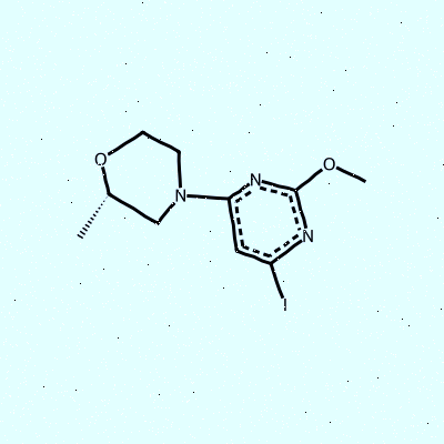 COc1nc(I)cc(N2CCO[C@@H](C)C2)n1